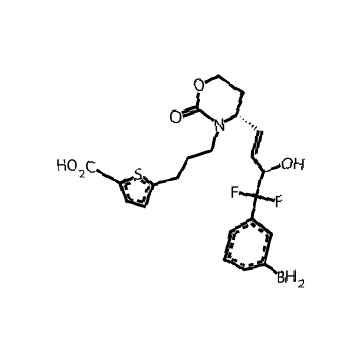 Bc1cccc(C(F)(F)[C@H](O)/C=C/[C@H]2CCOC(=O)N2CCCc2ccc(C(=O)O)s2)c1